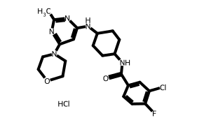 Cc1nc(NC2CCC(NC(=O)c3ccc(F)c(Cl)c3)CC2)cc(N2CCOCC2)n1.Cl